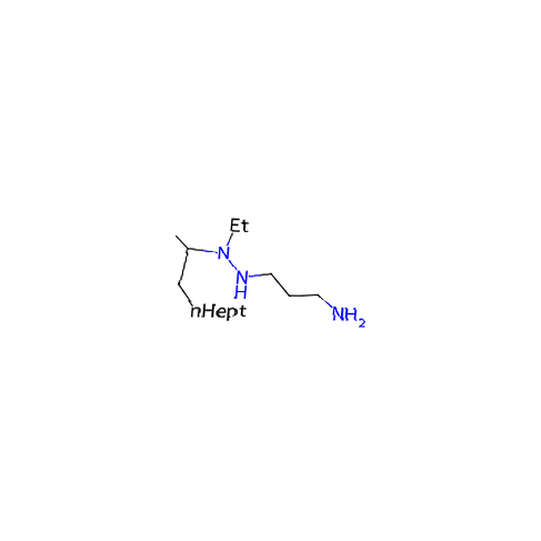 [CH2]CCCCCCCC(C)N(CC)NCCCN